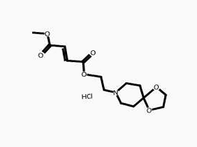 COC(=O)C=CC(=O)OCCN1CCC2(CC1)OCCO2.Cl